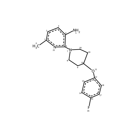 Cc1ccc(N)c(N2CCC(Oc3ccc(F)cc3)CC2)n1